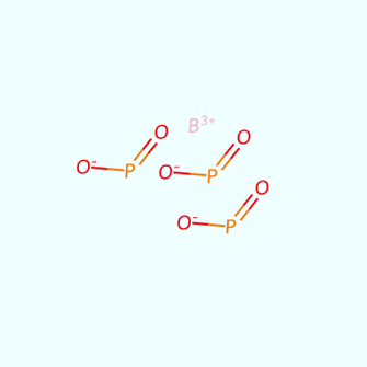 O=P[O-].O=P[O-].O=P[O-].[B+3]